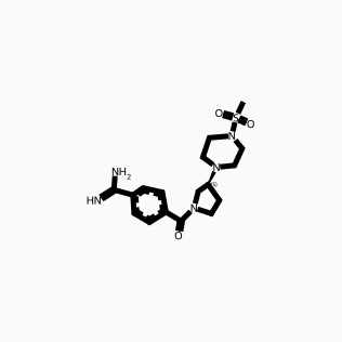 CS(=O)(=O)N1CCN([C@H]2CCN(C(=O)c3ccc(C(=N)N)cc3)C2)CC1